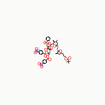 C=C1C(C)C[C@H](CC[C@@H]2OC(CCCOC(=O)C(C)(C)C)CC2=C)OC1CC1O[C@H](C[C@@H](COC(=O)c2ccc([N+](=O)[O-])cc2)OC(=O)c2ccc([N+](=O)[O-])cc2)[C@H](OC)[C@H]1CS(=O)(=O)c1ccccc1